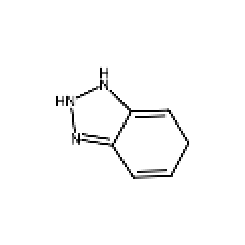 C1=CC2=NNNC2=CC1